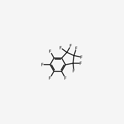 Fc1c(F)c(F)c2c(c1F)C(F)(F)C(F)(F)C2(F)F